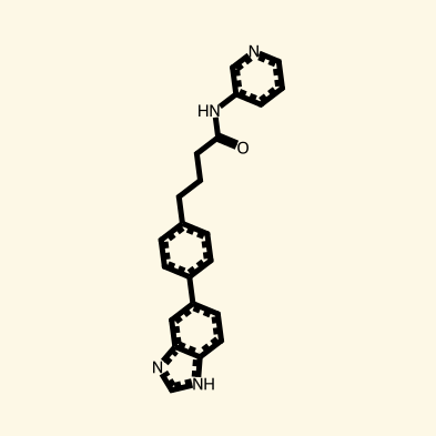 O=C(CCCc1ccc(-c2ccc3[nH]cnc3c2)cc1)Nc1cccnc1